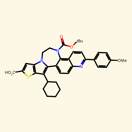 COc1ccc(-c2ccc3c4c(ccc3n2)-c2c(C3CCCCC3)c3sc(C(=O)O)cc3n2CCN4C(=O)OC(C)(C)C)cc1